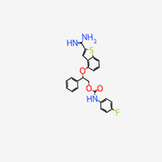 N=C(N)c1cc2c(OC(COC(=O)Nc3ccc(F)cc3)c3ccccc3)cccc2s1